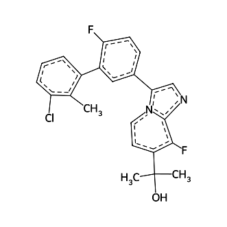 Cc1c(Cl)cccc1-c1cc(-c2cnc3c(F)c(C(C)(C)O)ccn23)ccc1F